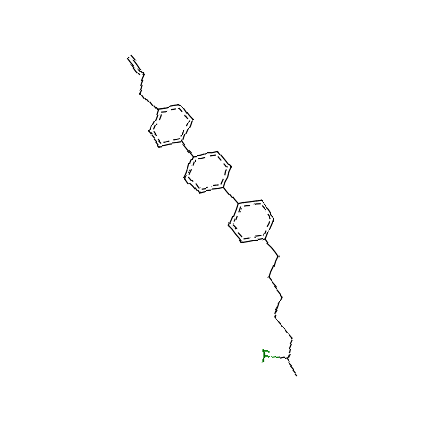 C=CCc1ccc(-c2ccc(-c3ccc(CCCCCC(C)F)cc3)cc2)cc1